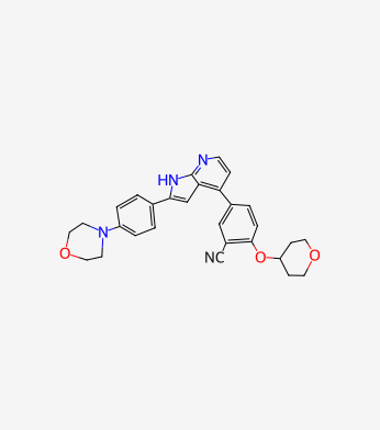 N#Cc1cc(-c2ccnc3[nH]c(-c4ccc(N5CCOCC5)cc4)cc23)ccc1OC1CCOCC1